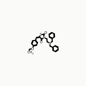 CCOc1ccc(C=C2SC(=O)N(CCN(Cc3ccccc3)Cc3ccccc3)C2=O)cc1